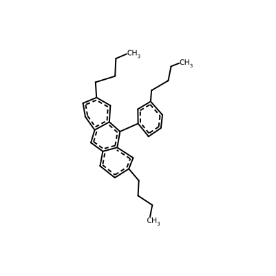 CCCCc1cccc(-c2c3cc(CCCC)ccc3cc3ccc(CCCC)cc23)c1